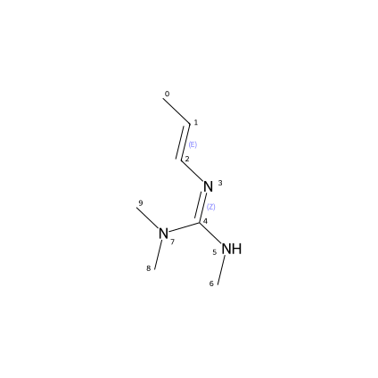 C/C=C/N=C(/NC)N(C)C